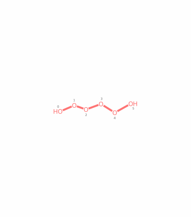 OOOOOO